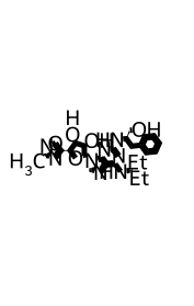 CCC(CC)Nc1nc(N[C@H](CO)Cc2ccccc2)nc2c1ncn2[C@@H]1O[C@H](c2nc(C)no2)[C@@H](O)[C@H]1O